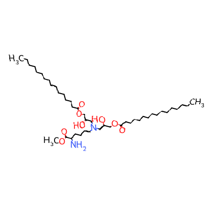 CCCCCCCCCCCCCCCC(=O)OCC(O)CN(CCCCC(N)C(=O)OC)CC(O)COC(=O)CCCCCCCCCCCCCCC